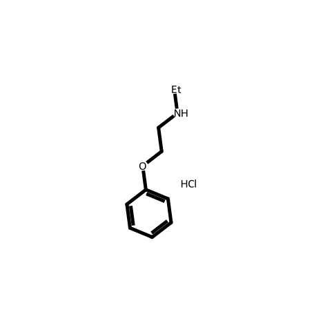 CCNCCOc1ccccc1.Cl